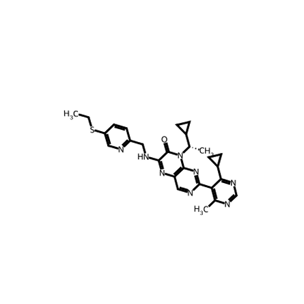 CCSc1ccc(CNc2nc3cnc(-c4c(C)ncnc4C4CC4)nc3n([C@@H](C)C3CC3)c2=O)nc1